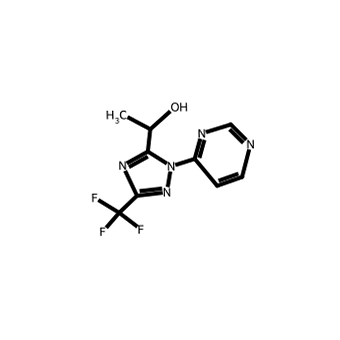 CC(O)c1nc(C(F)(F)F)nn1-c1ccncn1